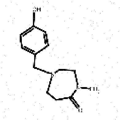 CN1CCN(Cc2ccc(O)cc2)CCC1=O